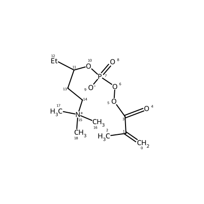 C=C(C)C(=O)OOP(=O)([O-])OC(CC)CC[N+](C)(C)C